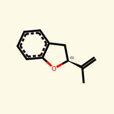 C=C(C)[C@@H]1Cc2ccccc2O1